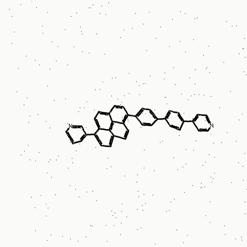 c1cncc(-c2ccc3ccc4c(-c5ccc(-c6ccc(-c7ccncc7)cc6)cc5)ccc5ccc2c3c54)c1